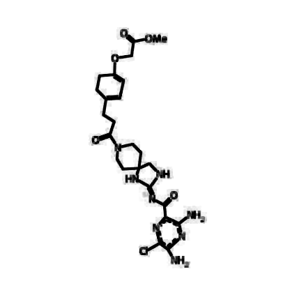 COC(=O)COC1=CC=C(CCC(=O)N2CCC3(CC2)CN/C(=N\C(=O)c2nc(Cl)c(N)nc2N)N3)CC1